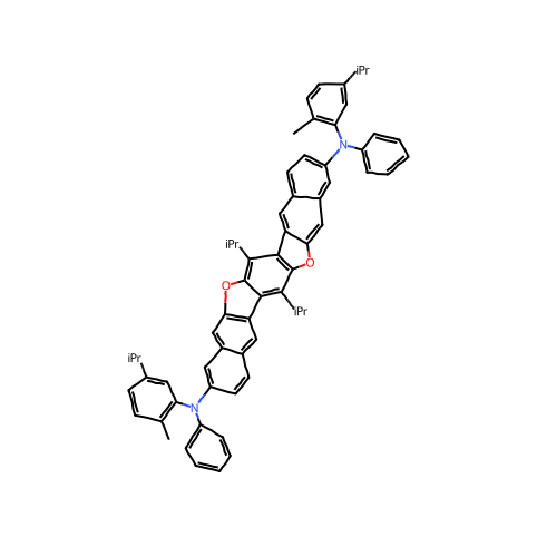 Cc1ccc(C(C)C)cc1N(c1ccccc1)c1ccc2cc3c(cc2c1)oc1c(C(C)C)c2c(oc4cc5cc(N(c6ccccc6)c6cc(C(C)C)ccc6C)ccc5cc42)c(C(C)C)c13